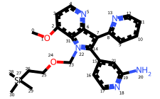 COc1ccnc2c(-c3ccccn3)c(-c3ccnc(N)c3)n(COCC[Si](C)(C)C)c12